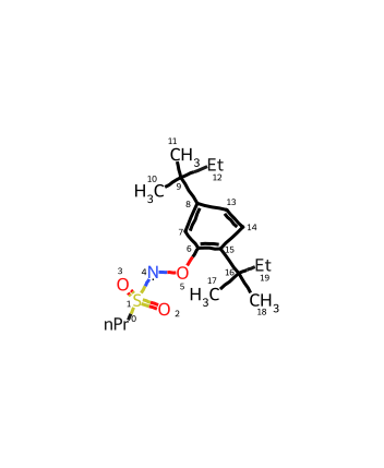 CCCS(=O)(=O)[N]Oc1cc(C(C)(C)CC)ccc1C(C)(C)CC